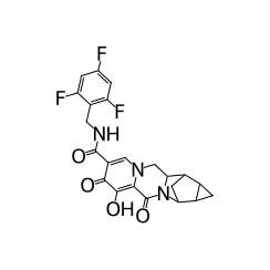 O=C(NCc1c(F)cc(F)cc1F)c1cn2c(c(O)c1=O)C(=O)N1C3CC(C4CC43)C1C2